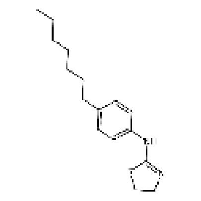 CCCCCCCc1ccc(NC2=NCCS2)cc1